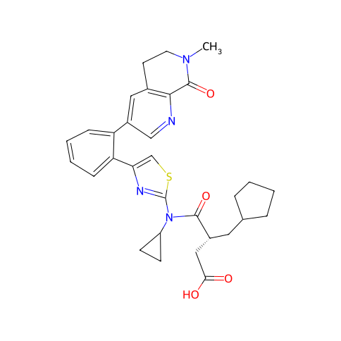 CN1CCc2cc(-c3ccccc3-c3csc(N(C(=O)[C@@H](CC(=O)O)CC4CCCC4)C4CC4)n3)cnc2C1=O